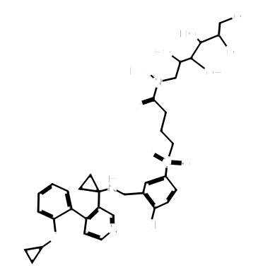 CN(CC(O)C(O)C(O)C(O)CO)C(=O)CCCS(=O)(=O)c1ccc(Cl)c(CNC2(c3cnccc3-c3ccccc3OC3CC3)CC2)c1